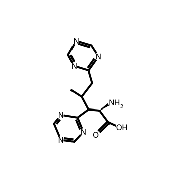 CC(Cc1ncncn1)C(c1ncncn1)[C@@H](N)C(=O)O